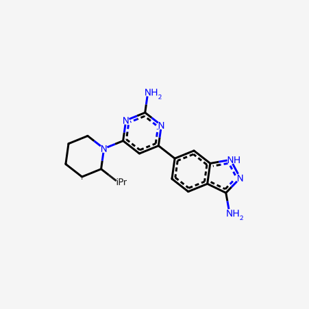 CC(C)C1[CH]CCCN1c1cc(-c2ccc3c(N)n[nH]c3c2)nc(N)n1